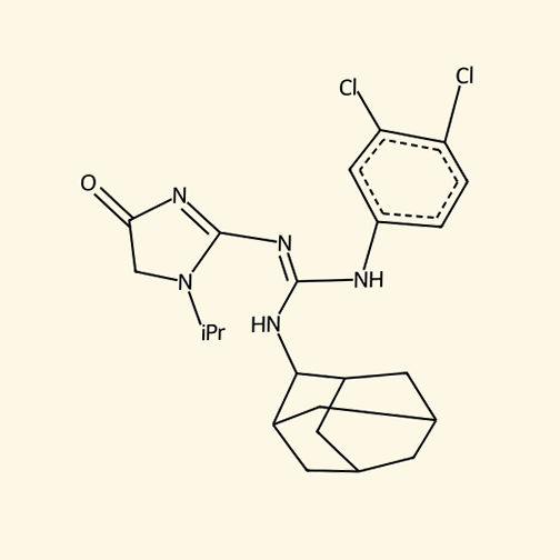 CC(C)N1CC(=O)N=C1N=C(Nc1ccc(Cl)c(Cl)c1)NC1C2CC3CC(C2)CC1C3